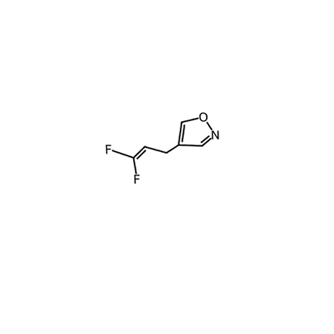 FC(F)=CCc1cnoc1